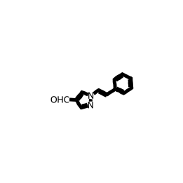 O=Cc1cnn(C=Cc2ccccc2)c1